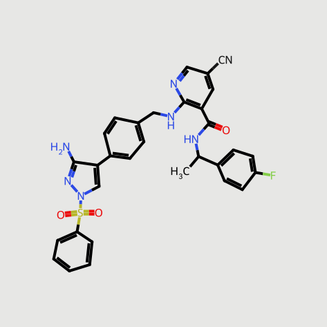 CC(NC(=O)c1cc(C#N)cnc1NCc1ccc(-c2cn(S(=O)(=O)c3ccccc3)nc2N)cc1)c1ccc(F)cc1